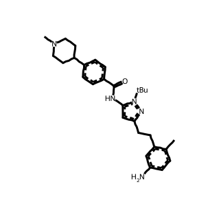 Cc1ccc(N)cc1CCc1cc(NC(=O)c2ccc(C3CCN(C)CC3)cc2)n(C(C)(C)C)n1